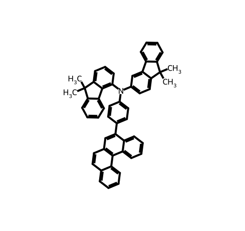 CC1(C)c2ccccc2-c2cc(N(c3ccc(-c4cc5ccc6ccccc6c5c5ccccc45)cc3)c3cccc4c3-c3ccccc3C4(C)C)ccc21